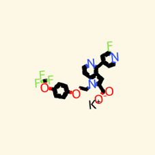 O=C([O-])c1cc2c(-c3ccnc(F)c3)nccc2n1CCOc1ccc(OC(F)(F)F)cc1.[K+]